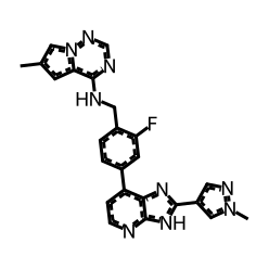 Cc1cc2c(NCc3ccc(-c4ccnc5[nH]c(-c6cnn(C)c6)nc45)cc3F)ncnn2c1